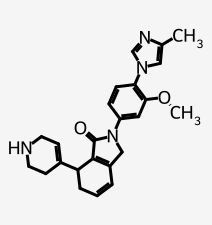 COc1cc(N2CC3=C(C2=O)C(C2=CCNCC2)CC=C3)ccc1-n1cnc(C)c1